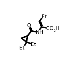 CCC=C(NC(=O)C1CC1(CC)CC)C(=O)O